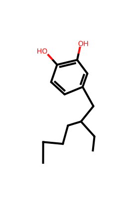 CCCCC(CC)Cc1ccc(O)c(O)c1